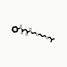 CC(C)COCCCOCCNC(=O)CC(=O)Nc1ccccc1